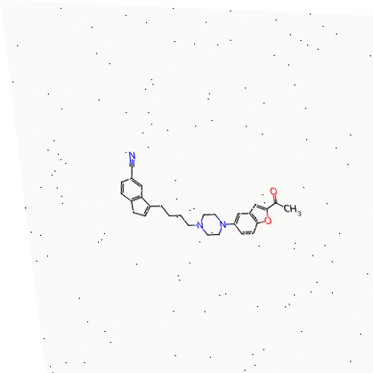 CC(=O)c1cc2cc(N3CCN(CCCCC4=CCc5ccc(C#N)cc54)CC3)ccc2o1